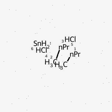 CCCC.CCCC.Cl.Cl.[SnH2]